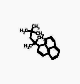 CC(C)(C)CC(C)(C)C1C=Cc2cccc3cccc1c23